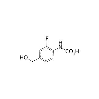 O=C(O)Nc1ccc(CO)cc1F